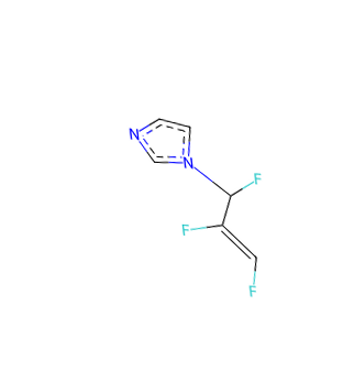 FC=C(F)C(F)n1ccnc1